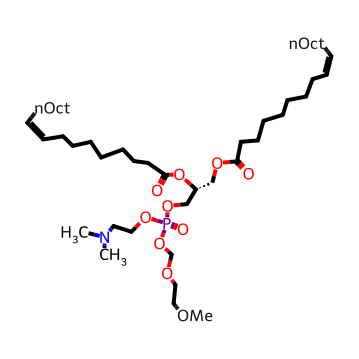 CCCCCCCC/C=C\CCCCCCCC(=O)OC[C@H](COP(=O)(OCCN(C)C)OCOCCOC)OC(=O)CCCCCCC/C=C\CCCCCCCC